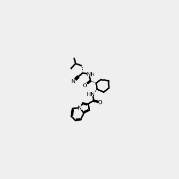 CC(C)C[C@@H](C#N)NC(=O)[C@@H]1CCCC[C@@H]1NC(=O)c1cc2ccccn2c1